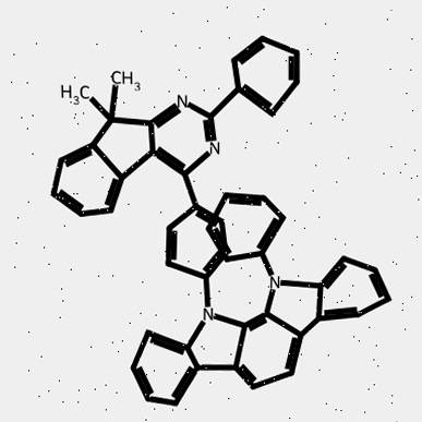 CC1(C)c2ccccc2-c2c(-c3ccc(-n4c5ccccc5c5ccc6c7ccccc7n(-c7ccccc7)c6c54)cc3)nc(-c3ccccc3)nc21